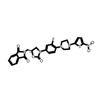 O=C1c2ccccc2C(=O)N1C[C@H]1CN(c2ccc(N3CCN(c4ccc([N+](=O)[O-])s4)CC3)c(F)c2)C(=O)O1